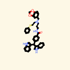 O=C(NCCCN(CCSc1ccccc1)Cc1ccc2c(c1)OCO2)c1ccc(C(c2c[nH]c3ccccc23)c2c[nH]c3ccccc23)cc1